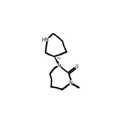 CN1CCCN([C@@H]2CCCNC2)C1=O